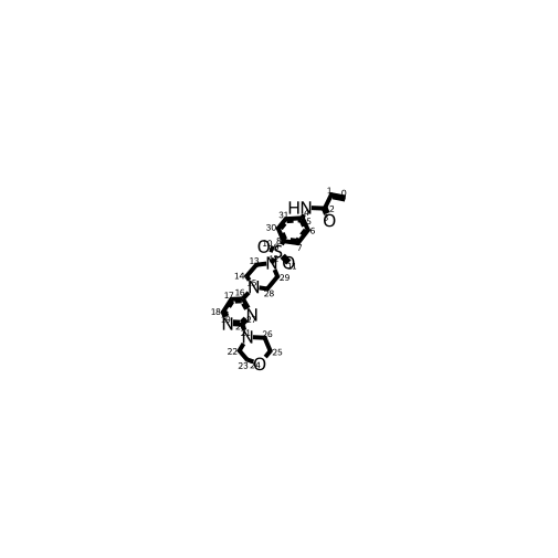 C=CC(=O)Nc1ccc(S(=O)(=O)N2CCN(c3ccnc(N4CCOCC4)n3)CC2)cc1